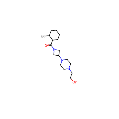 CCC(C)C1CCCCC1C(=O)N1CC(N2CCN(CCO)CC2)C1